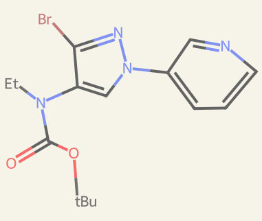 CCN(C(=O)OC(C)(C)C)c1cn(-c2cccnc2)nc1Br